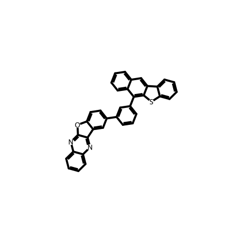 c1cc(-c2ccc3oc4nc5ccccc5nc4c3c2)cc(-c2c3ccccc3cc3c2sc2ccccc23)c1